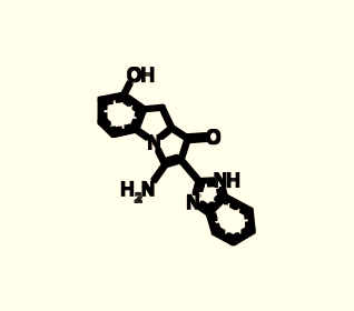 NC1=C(c2nc3ccccc3[nH]2)C(=O)C2Cc3c(O)cccc3N12